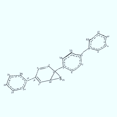 C1=CC2(c3ccc(-c4ccccc4)cc3)SC2C=C1c1ccccc1